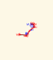 NC(=O)CC[C@H](NC(=O)CC[C@H](NC(=O)COCCOCCNC(=O)COCCOCCNC(=O)CC[C@H](NC(=O)CCCCCCCCCCCCCCC(=O)O)C(=O)O)C(=O)O)C(=O)O